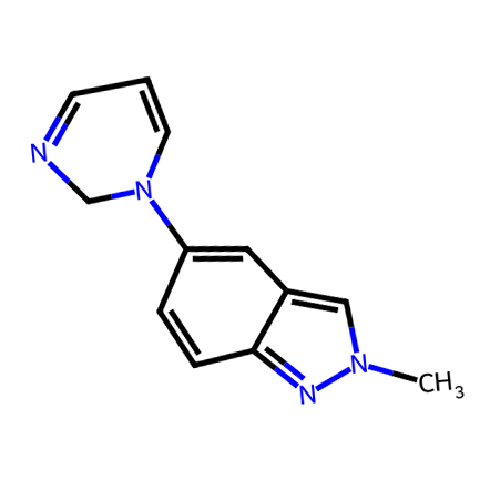 Cn1cc2cc(N3C=CC=NC3)ccc2n1